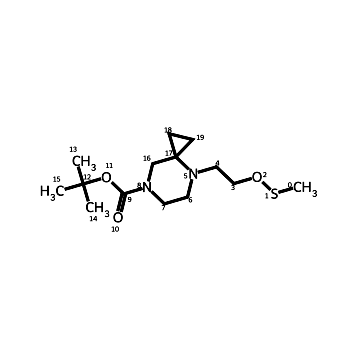 CSOCCN1CCN(C(=O)OC(C)(C)C)CC12CC2